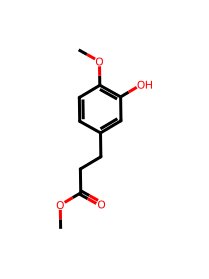 COC(=O)CCc1ccc(OC)c(O)c1